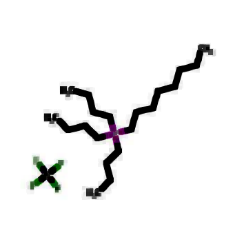 CCCCCCCC[P+](CCCC)(CCCC)CCCC.F[B-](F)(F)F